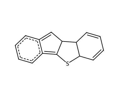 C1=CC2SC3=c4ccccc4=CC3C2C=C1